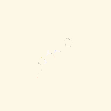 O=C(NCc1ccc(Cl)c(Cl)c1)Nc1nc(CCO)cs1